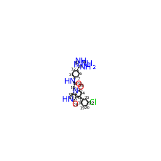 N/N=C(\NN)c1ccc(NC(=O)Cn2c3c(c(-c4cccc(Cl)c4)cc2=O)C(=O)NC3)cc1